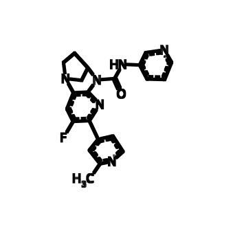 Cc1cc(-c2nc3c(cc2F)N2CCC(C2)N3C(=O)Nc2cccnc2)ccn1